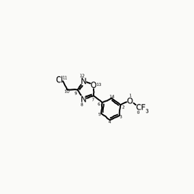 FC(F)(F)Oc1cccc(-c2nc(CCl)no2)c1